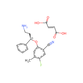 Cc1cc(O[C@H](CCN)c2ccccc2)c(C#N)cc1F.O=C(O)C=CC(=O)O